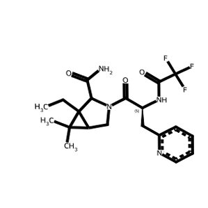 CCC12C(C(N)=O)N(C(=O)[C@H](Cc3ccccn3)NC(=O)C(F)(F)F)CC1C2(C)C